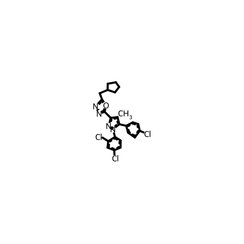 Cc1c(-c2nnc(CC3CCCC3)o2)nn(-c2ccc(Cl)cc2Cl)c1-c1ccc(Cl)cc1